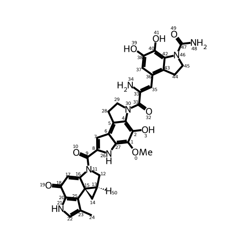 COc1c(O)c2c(c3cc(C(=O)N4C[C@H]5C[C@@]56C4=CC(=O)c4[nH]cc(C)c46)[nH]c13)CCN2C(=O)/C(N)=C/c1cc(O)c(O)c2c1CCN2C(N)=O